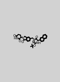 CC(C)(C)OC(=O)N[C@H](C(=O)NCc1ccc2c(c1)CN(C1CCC(=O)NC1=O)C2=O)c1ccc2ccccc2c1